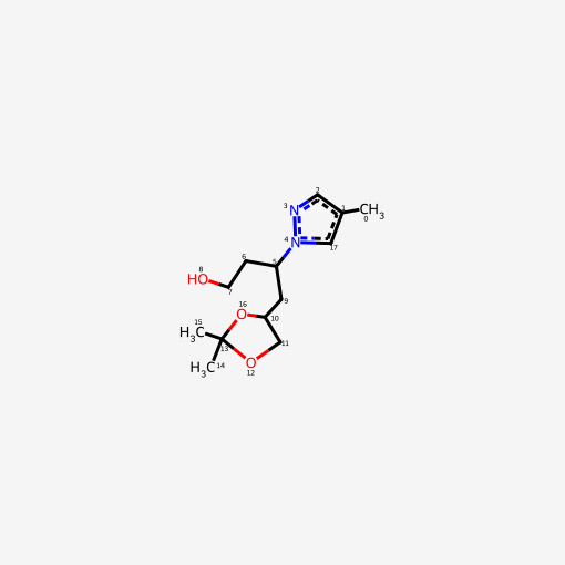 Cc1cnn(C(CCO)CC2COC(C)(C)O2)c1